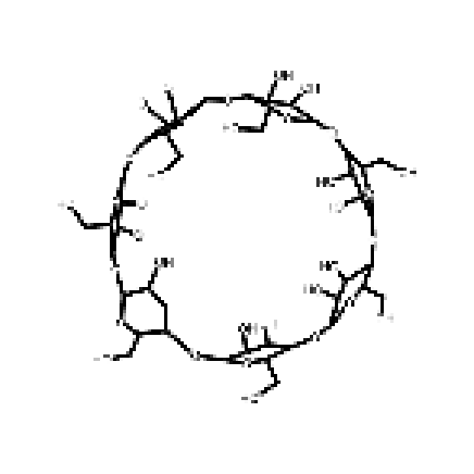 OCC1CC2OC3C(CO)OC(OC4C(CO)OC(OC5C(CO)OC(OC6C(CO)OC(OC7CC(O)C(OC7CO)OC7C(CO)OC(OC1C(O)C2O)C(O)C7O)C(O)C6O)C(O)C5O)C(O)C4O)C(O)C3O